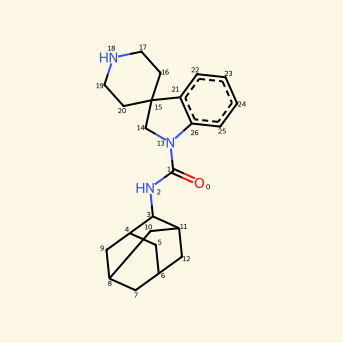 O=C(NC1C2CC3CC(C2)CC1C3)N1CC2(CCNCC2)c2ccccc21